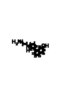 NCCCNc1cccc(-c2cccc3ccc(O)cc23)c1